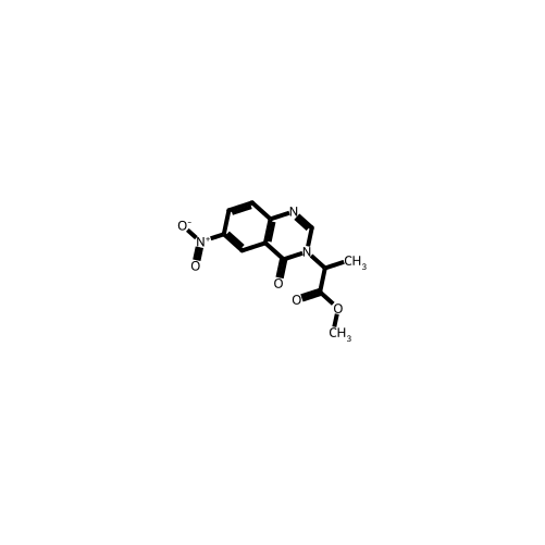 COC(=O)C(C)n1cnc2ccc([N+](=O)[O-])cc2c1=O